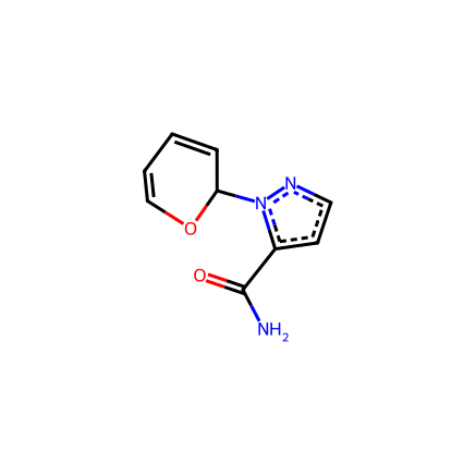 NC(=O)c1ccnn1C1C=CC=CO1